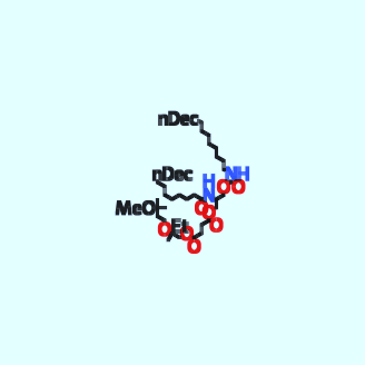 CCCCCCCCCCCCCCCCCCNC(=O)OCC(COC(=O)CCC(=O)OCC(C)(CC)OCCC(C)(C)OC)NC(=O)CCCCCCCCCCCCCCCCC